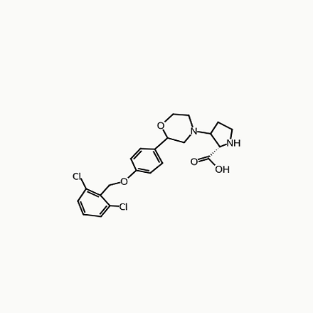 O=C(O)[C@H]1NCCC1N1CCOC(c2ccc(OCc3c(Cl)cccc3Cl)cc2)C1